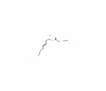 CCCCCCCCCCCCC/C=C/[C@@H](O)[C@H](CO)NC(=O)COCCOC